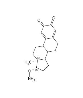 C[C@]12CCC3C4=CC(=O)C(=O)C=C4CCC3C1CC[C@@H]2ON